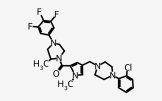 CC1CN(c2cc(F)c(F)c(F)c2)CCN1C(=O)c1cc(CN2CCN(c3ccccc3Cl)CC2)cn1C